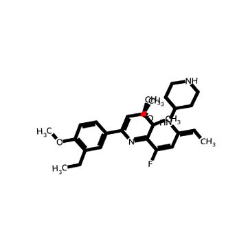 C\C=C(/C=C(F)\C(=N\C(=C/C(C)=O)c1ccc(OC)c(CC)c1)C(C)CC)NC1CCNCC1